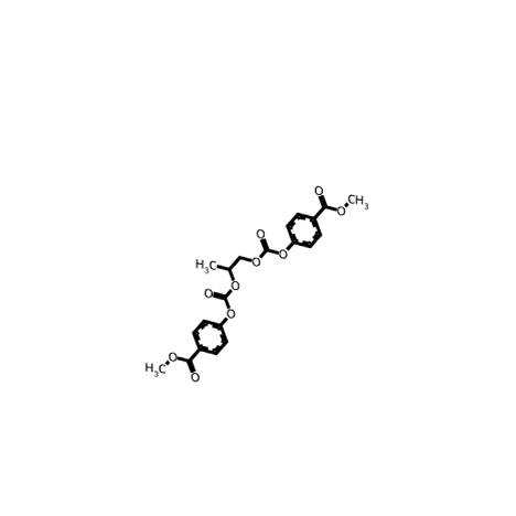 COC(=O)c1ccc(OC(=O)OCC(C)OC(=O)Oc2ccc(C(=O)OC)cc2)cc1